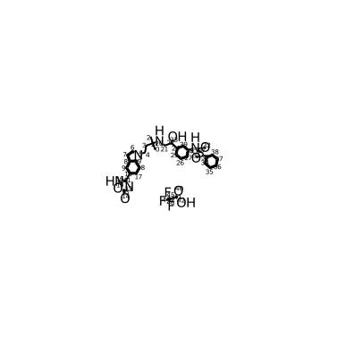 CC(C)(CCn1ccc2cc(-c3nc(=O)o[nH]3)ccc21)NCC(O)c1cccc(NS(=O)(=O)c2ccccc2)c1.O=C(O)C(F)(F)F